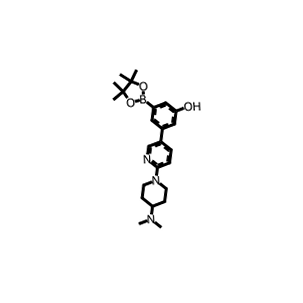 CN(C)C1CCN(c2ccc(-c3cc(O)cc(B4OC(C)(C)C(C)(C)O4)c3)cn2)CC1